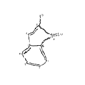 CC1=Cc2ccccc2S1=S